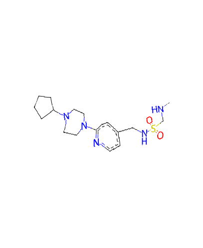 CNCS(=O)(=O)NCc1ccnc(N2CCN(C3CCCC3)CC2)c1